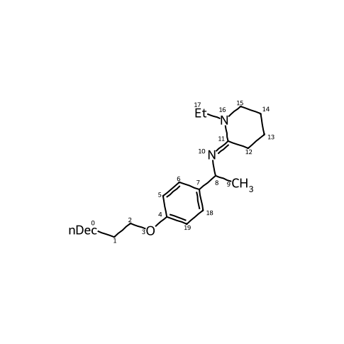 CCCCCCCCCCCCOc1ccc(C(C)N=C2CCCCN2CC)cc1